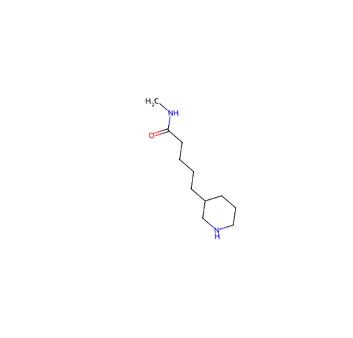 [CH2]NC(=O)CCCCC1CCCNC1